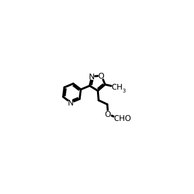 Cc1onc(-c2cccnc2)c1CCOC=O